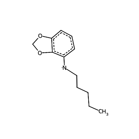 CCCCC[N]c1cccc2c1OCO2